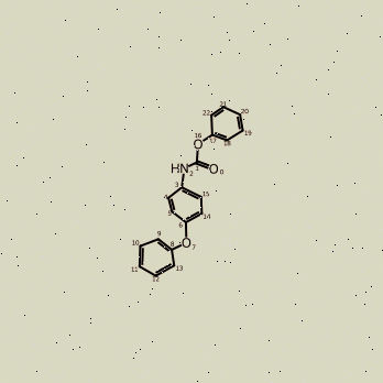 O=C(Nc1ccc(Oc2ccccc2)cc1)Oc1ccccc1